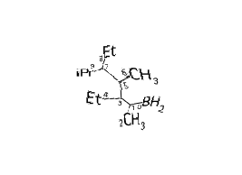 BC(C)C(CC)C(C)C(CC)C(C)C